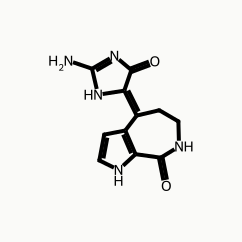 NC1=NC(=O)/C(=C2\CCNC(=O)c3[nH]ccc32)N1